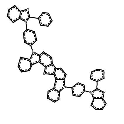 c1ccc(-c2nc3ccccc3n2-c2ccc(-n3c4ccccc4c4c5sc6c(ccc7c6c6ccccc6n7-c6ccc(-n7c(-c8ccccc8)nc8ccccc87)cc6)c5ccc43)cc2)cc1